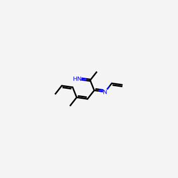 C=C/N=C(/C=C(C)\C=C/C)C(C)=N